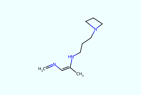 C=N/C=C(/C)NCCCN1CCC1